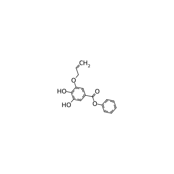 C=CCOc1cc(C(=O)Oc2ccccc2)cc(O)c1O